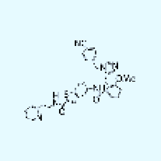 COc1cccc(C(=O)Nc2ccc3sc(C(=O)NCCc4ccccn4)cc3c2)c1Cc1cncn1Cc1ccc(C#N)cc1